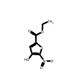 CCOC(=O)c1cc(O)c([N+](=O)[O-])s1